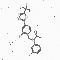 CC(=O)N(Cc1ccc(-c2nnc(C(F)(F)F)o2)cc1F)c1cccc(F)c1